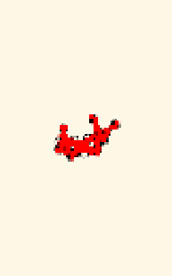 O=C1C(c2ccc(C#Cc3ccccc3)cc2)=C(c2ccc(C#Cc3ccccc3)cc2)C(c2ccc(Oc3ccc(C4=C(c5ccc(-c6ccccc6)cc5)C(=O)C(c5ccccc5)=C4c4ccc(Oc5ccc(C6=C(c7ccc(-c8ccccc8)cc7)C(=O)C(c7ccccc7)=C6c6ccc(-c7ccccc7)cc6)cc5)cc4)cc3)cc2)=C1c1ccccc1